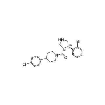 O=C([C@@H]1CNC[C@H]1c1ccccc1Br)N1CCC(c2ccc(Cl)cc2)CC1